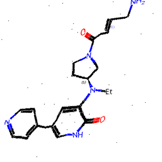 CCN(c1cc(-c2ccncc2)c[nH]c1=O)[C@H]1CCN(C(=O)/C=C/CN)C1